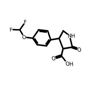 O=C(O)C1C(=O)NCC1c1ccc(OC(F)F)cc1